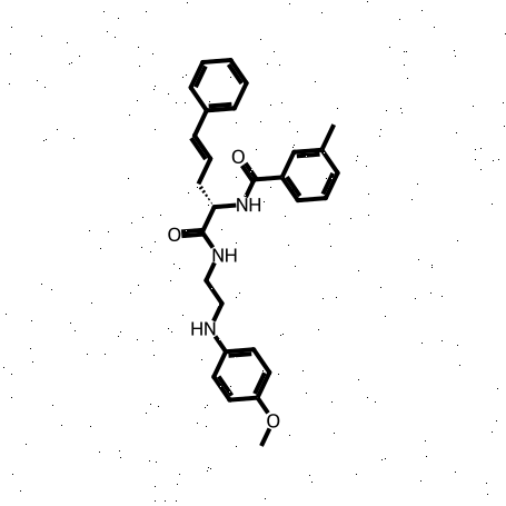 COc1ccc(NCCNC(=O)[C@H](CC=Cc2ccccc2)NC(=O)c2cccc(C)c2)cc1